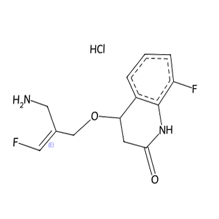 Cl.NC/C(=C\F)COC1CC(=O)Nc2c(F)cccc21